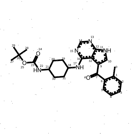 Cc1ccccc1C(=O)c1c[nH]c2ncnc(NC3CCC(NC(=O)OC(C)(C)C)CC3)c12